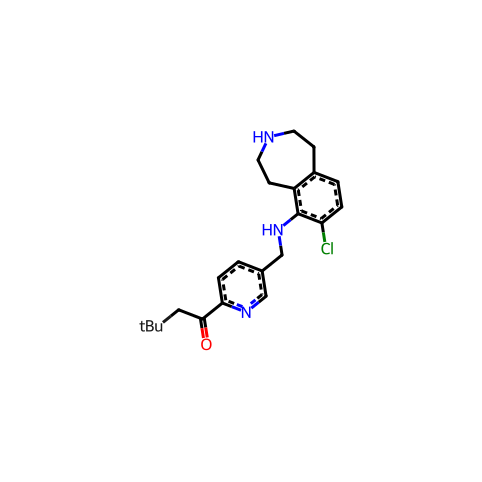 CC(C)(C)CC(=O)c1ccc(CNc2c(Cl)ccc3c2CCNCC3)cn1